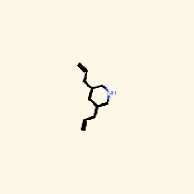 C=CCC1CNCC(CC=C)C1